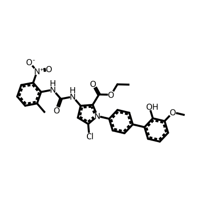 CCOC(=O)c1c(NC(=O)Nc2c(C)cccc2[N+](=O)[O-])cc(Cl)n1-c1ccc(-c2cccc(OC)c2O)cc1